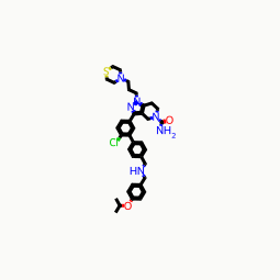 CC(C)Oc1ccc(CNCc2ccc(-c3cc(-c4nn(CCCN5CCSCC5)c5c4CN(C(N)=O)CC5)ccc3Cl)cc2)cc1